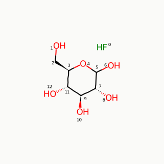 F.OC[C@H]1OC(O)[C@H](O)[C@@H](O)[C@@H]1O